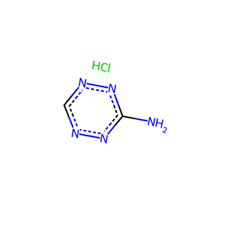 Cl.Nc1nncnn1